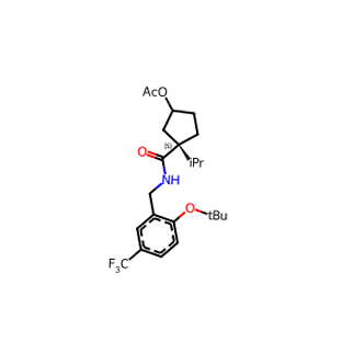 CC(=O)OC1CC[C@@](C(=O)NCc2cc(C(F)(F)F)ccc2OC(C)(C)C)(C(C)C)C1